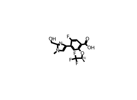 C[C@H](Oc1cc(-c2cn(C)c(CO)n2)c(F)cc1C(=O)O)C(F)(F)F